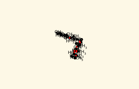 CCN(CC)CCOC(=O)C1(C2CCCCC2)CCCCC1.CN1C(=O)CN=C(c2ccccc2)c2cc(Cl)ccc21.COC(=O)[C@H](c1ccccc1)[C@H]1CCCCN1.COc1ccc2c3c1O[C@H]1[C@@H](O)CC[C@H]4[C@@H](C2)N(C)CC[C@@]341.C[C@@H](CN1CC(=O)NC(=O)C1)N1CC(=O)NC(=O)C1.C[C@H](N)Cc1ccccc1.Cc1cccc([C@H](C)c2cnc[nH]2)c1C.O=c1nc[nH]c2c1ncn2[C@H]1CC[C@@H](CO)O1